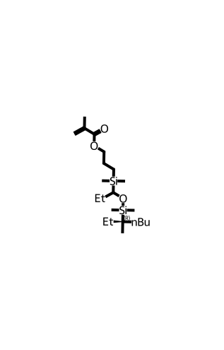 C=C(C)C(=O)OCCC[Si](C)(C)C(CC)O[Si](C)(C)[C@](C)(CC)CCCC